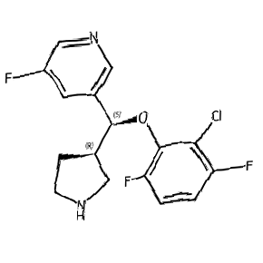 Fc1cncc([C@@H](Oc2c(F)ccc(F)c2Cl)[C@@H]2CCNC2)c1